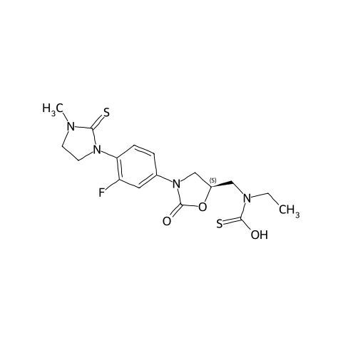 CCN(C[C@@H]1CN(c2ccc(N3CCN(C)C3=S)c(F)c2)C(=O)O1)C(O)=S